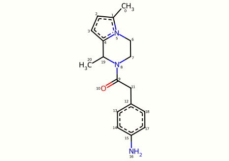 Cc1ccc2n1CCN(C(=O)Cc1ccc(N)cc1)C2C